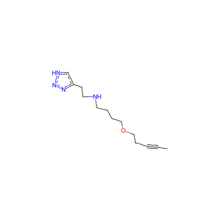 CC#CCCOCCCCNCCc1c[nH]nn1